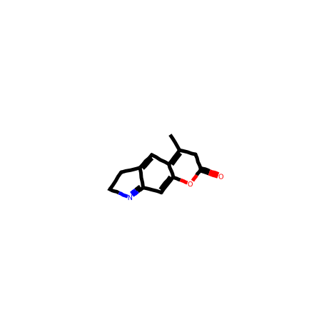 CC1=c2cc3c(cc2OC(=O)C1)=NCC3